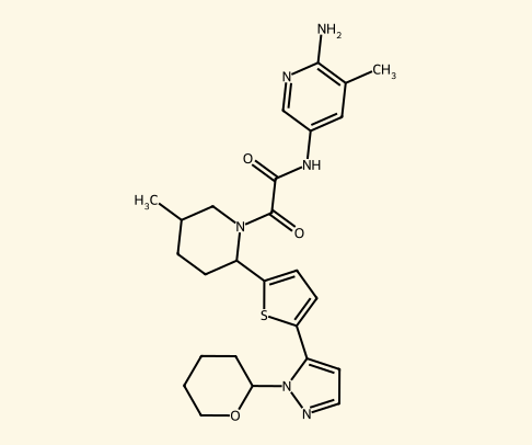 Cc1cc(NC(=O)C(=O)N2CC(C)CCC2c2ccc(-c3ccnn3C3CCCCO3)s2)cnc1N